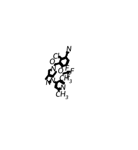 Cc1cc(-n2ncc3c2CN(C(=O)c2c(O[C@@H](C)C(F)(F)F)ccc(C#N)c2Cl)C3)ccn1